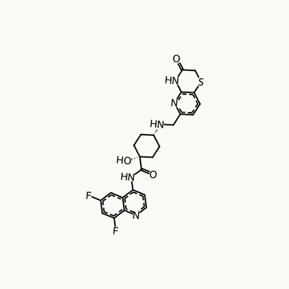 O=C1CSc2ccc(CN[C@H]3CC[C@](O)(C(=O)Nc4ccnc5c(F)cc(F)cc45)CC3)nc2N1